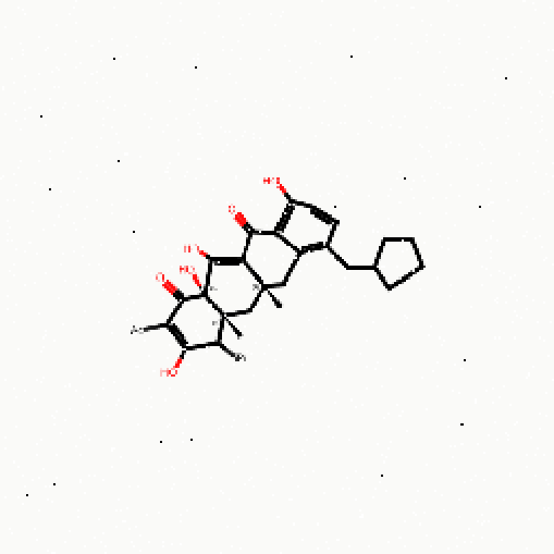 CC(=O)C1=C(O)C(C(C)C)[C@@]2(C)C[C@@]3(C)Cc4c(CC5CCCC5)ccc(O)c4C(=O)C3=C(O)[C@@]2(O)C1=O